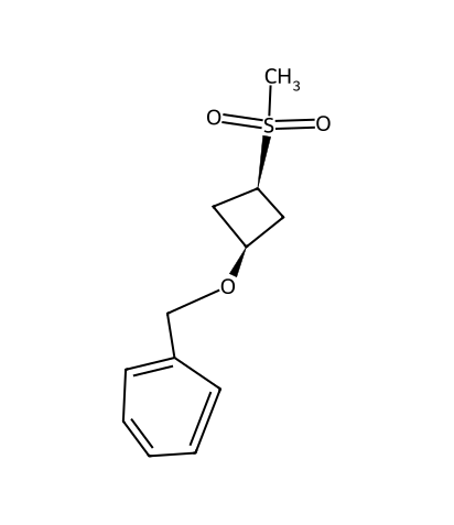 CS(=O)(=O)[C@H]1C[C@@H](OCc2ccccc2)C1